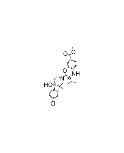 COC(=O)c1ccc(N[C@@H](C(=O)N2CC[C@](O)(c3ccc(Cl)cc3)C(C)(C)C2)C(C)C)cc1